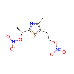 Cc1nc([C@H](C)O[N+](=O)[O-])sc1CCO[N+](=O)[O-]